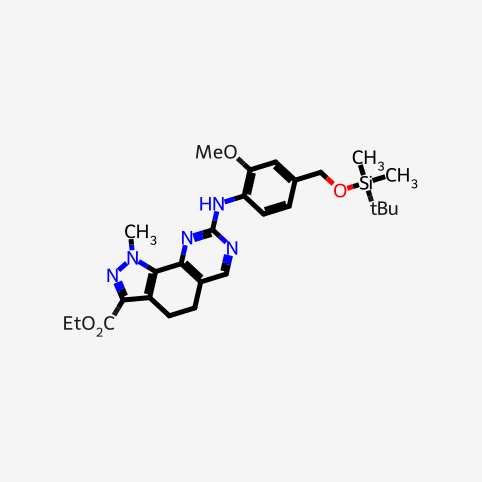 CCOC(=O)c1nn(C)c2c1CCc1cnc(Nc3ccc(CO[Si](C)(C)C(C)(C)C)cc3OC)nc1-2